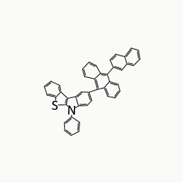 c1ccc(-n2c3ccc(-c4c5ccccc5c(-c5ccc6ccccc6c5)c5ccccc45)cc3c3c4ccccc4sc32)cc1